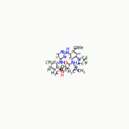 C=CC(=O)Nc1cc(Nc2nccc(Nc3cc(Cl)c(F)cc3C(C)(C)O)n2)c(OC)cc1N1CC(F)(F)C[C@@H]1CN(C)C